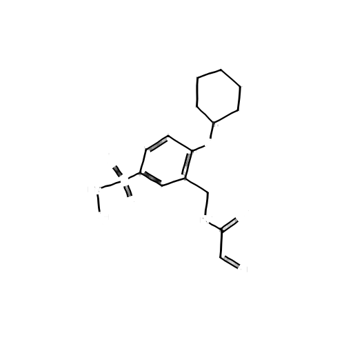 C=CC(=O)NCc1cc(S(=O)(=O)NC)ccc1OC1CCCCC1